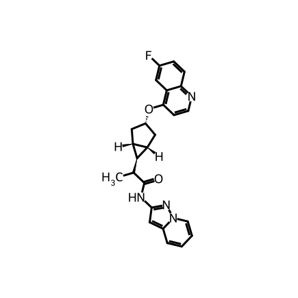 CC(C(=O)Nc1cc2ccccn2n1)[C@H]1[C@@H]2C[C@H](Oc3ccnc4ccc(F)cc34)C[C@@H]21